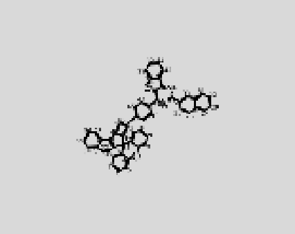 c1ccc2c(c1)Oc1ccccc1C21c2cc(-c3ccc(-c4nc(-c5ccc6ccccc6c5)nc5c4sc4ccccc45)cc3)ccc2-c2c1ccc1ccccc21